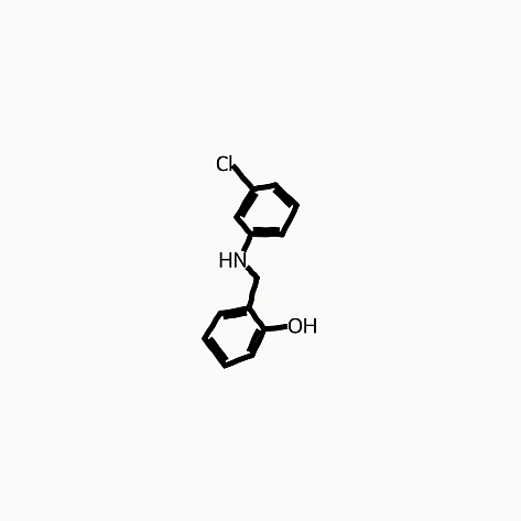 Oc1ccccc1CNc1cccc(Cl)c1